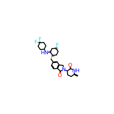 C=C1CCC(N2Cc3cc(C[C@H]4CC[C@@H](F)C[C@@H]4NC4CCC(F)(F)CC4)ccc3C2=O)C(=O)N1